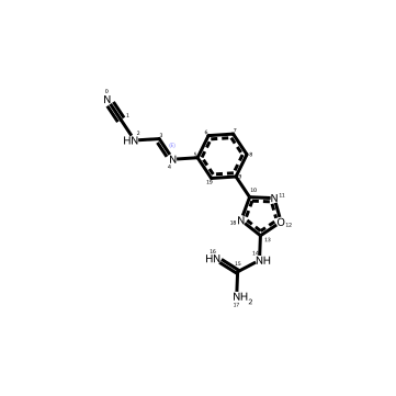 N#CN/C=N/c1cccc(-c2noc(NC(=N)N)n2)c1